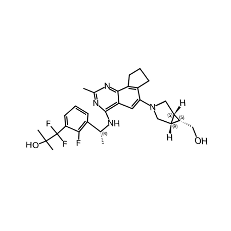 Cc1nc(N[C@H](C)c2cccc(C(F)(F)C(C)(C)O)c2F)c2cc(N3C[C@@H]4[C@H](CO)[C@@H]4C3)c3c(c2n1)CCC3